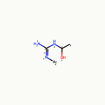 CC(=O)/N=C(/N)NC(C)O